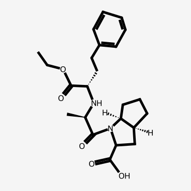 CCOC(=O)[C@H](CCc1ccccc1)N[C@H](C)C(=O)N1C(C(=O)O)C[C@@H]2CCC[C@@H]21